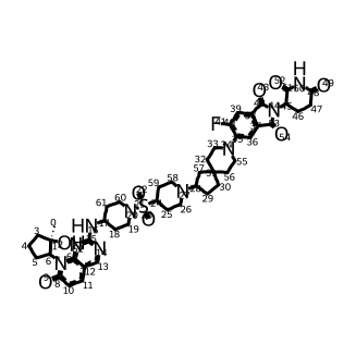 C[C@@]1(O)CCCC1n1c(=O)ccc2cnc(NC3CCN(S(=O)(=O)C4CCN(C5CCC6(CCN(c7cc8c(cc7F)C(=O)N(C7CCC(=O)NC7=O)C8=O)CC6)C5)CC4)CC3)nc21